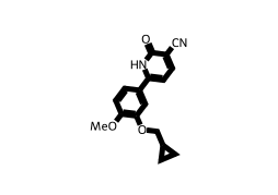 COc1ccc(-c2ccc(C#N)c(=O)[nH]2)cc1OCC1CC1